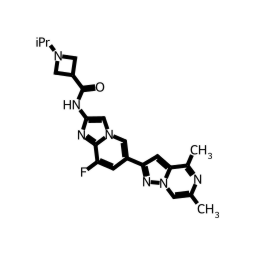 Cc1cn2nc(-c3cc(F)c4nc(NC(=O)C5CN(C(C)C)C5)cn4c3)cc2c(C)n1